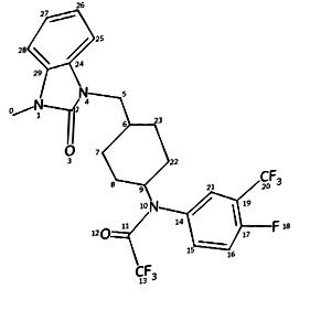 Cn1c(=O)n(CC2CCC(N(C(=O)C(F)(F)F)c3ccc(F)c(C(F)(F)F)c3)CC2)c2ccccc21